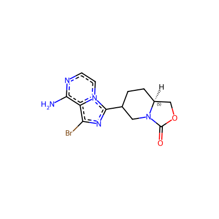 Nc1nccn2c(C3CC[C@H]4COC(=O)N4C3)nc(Br)c12